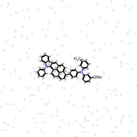 COc1cccc(N(c2ccc(-c3ccc4ccc5c6c(ccc3c46)cc3c4ccccc4n(-c4ccccc4)c35)cc2)c2cccc(C)c2)c1